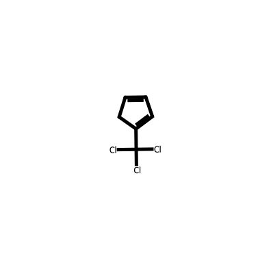 ClC(Cl)(Cl)C1=CC=CC1